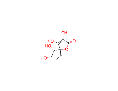 CC[C@]1([C@@H](O)CO)OC(=O)C(O)=C1O